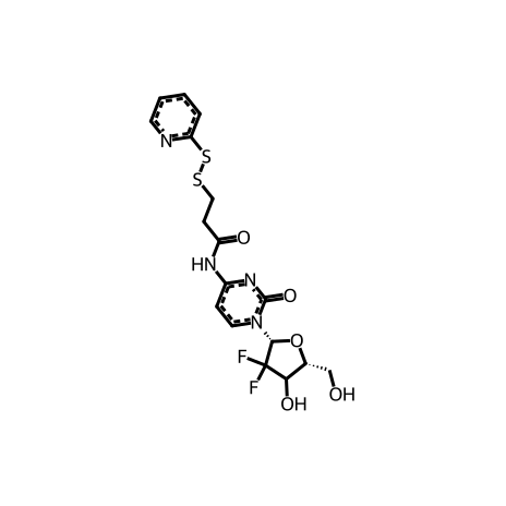 O=C(CCSSc1ccccn1)Nc1ccn([C@@H]2O[C@H](CO)C(O)C2(F)F)c(=O)n1